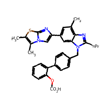 CCCc1nc2c(C)cc(-c3cn4c(C)c(C)sc4n3)cc2n1Cc1ccc(-c2ccccc2OC(=O)O)cc1